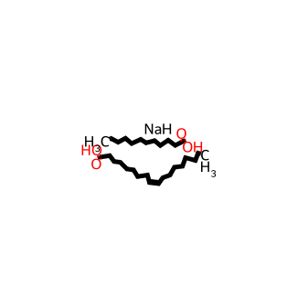 CCCCCCCC/C=C\CCCCCCCC(=O)O.CCCCCCCCCCCC(=O)O.[NaH]